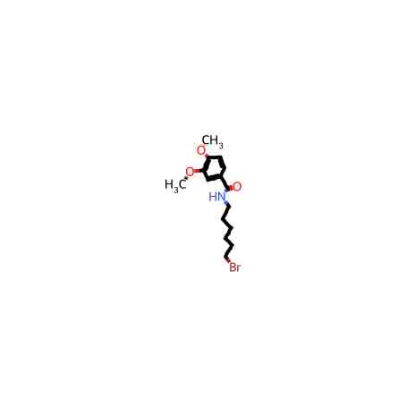 COc1ccc(C(=O)NCCCCCCBr)cc1OC